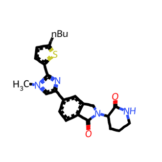 CCCCc1ccc(-c2nc(-c3ccc4c(c3)CN(C3CCCNC3=O)C4=O)cn2C)s1